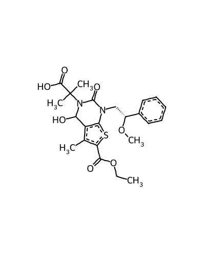 CCOC(=O)c1sc2c(c1C)C(O)N(C(C)(C)C(=O)O)C(=O)N2C[C@@H](OC)c1ccccc1